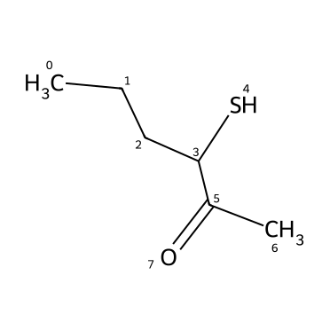 CCCC(S)C(C)=O